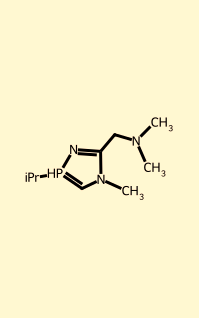 CC(C)[PH]1=CN(C)C(CN(C)C)=N1